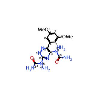 COc1cc(OC)cc(-c2nnc(N(N)C(N)=O)nc2N(N)C(N)=O)c1